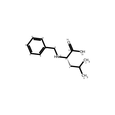 CC(C)C[C@H](NCc1ccccc1)C(=O)O